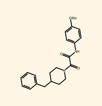 COc1ccc(NC(=O)C(=O)N2CCC(Cc3ccccc3)CC2)cc1